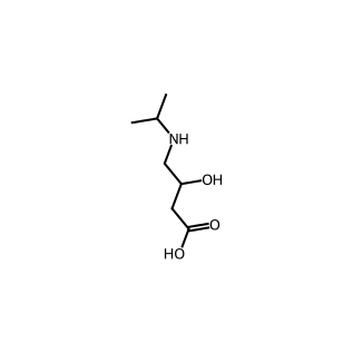 CC(C)NCC(O)CC(=O)O